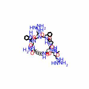 CC(=O)N[C@@H](CCCNC(=N)N)C(=O)N[C@H]1CC(=O)NCCCC[C@@H](C(N)=O)NC(=O)[C@H](Cc2c[nH]c3ccccc23)NC(=O)[C@H](CCCNC(=N)N)NC(=O)[C@@H](Cc2ccccc2)NC(=O)[C@@H]2CCCN2C1=O